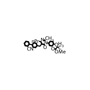 CCCc1nc(C)n(-c2ccc(OC(C)C(=O)OC)cc2)c(=O)c1Cc1ccc(-c2ccccc2C#N)cc1